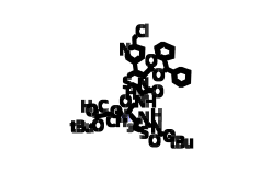 CC(C)(C)OC(=O)Nc1nc(/C(=N/OC(C)(C)C(=O)OC(C)(C)C)C(=O)N[C@@H]2C(=O)N3C(C(=O)OC(c4ccccc4)c4ccccc4)=C(c4ccc(CCl)nc4)CS[C@H]23)cs1